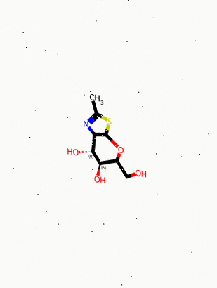 CC1=NC2C(OC(CO)[C@@H](O)[C@@H]2O)S1